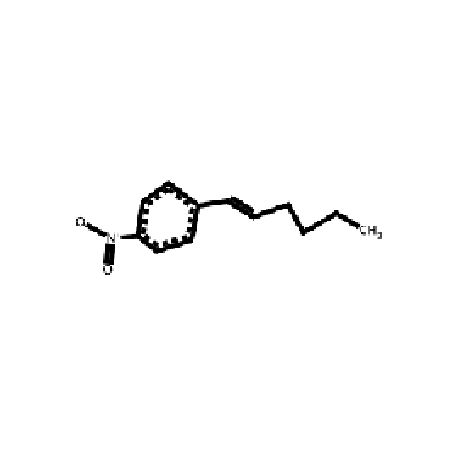 CCCCC=Cc1ccc([N+](=O)[O-])cc1